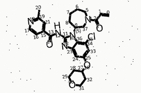 C=CC(=O)N1CCCC[C@H](n2c(NC(=O)c3ccnc(C)c3)nc3cc(OC4CCOCC4)cc(Cl)c32)C1